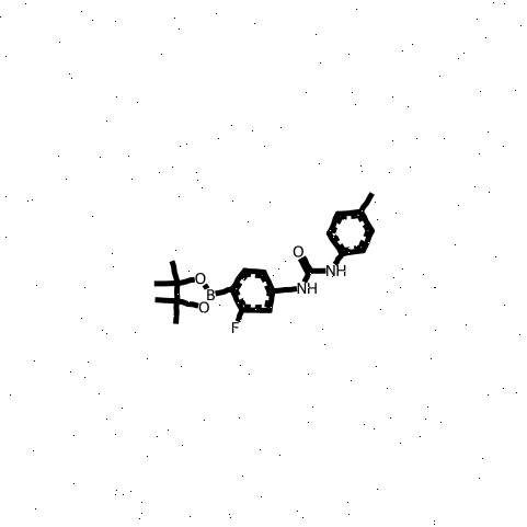 Cc1ccc(NC(=O)Nc2ccc(B3OC(C)(C)C(C)(C)O3)c(F)c2)cc1